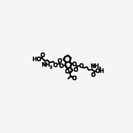 CC(=O)c1cc2c(OC(=O)OCCC[C@H](N)C(=O)O)c3ccccc3c(OC(=O)OCCC[C@H](N)C(=O)O)c2o1